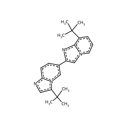 CC(C)(C)c1cccn2cc(-c3ccc4ncc(C(C)(C)C)n4c3)nc12